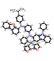 CC(C)c1ccc(N(c2cccc(N3c4ccccc4C4(c5cc6c7ccccc7n(-c7ccccc7)c6cc53)c3ccoc3-c3occc34)c2)c2cccc3c2oc2ccccc23)cc1